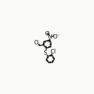 O=Cc1cc([N+](=O)[O-])ccc1Sc1ccccc1Cl